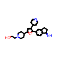 N=C1CCc2cc(-c3oc(C4CCN(CCO)CC4)cc3-c3ccncc3)ccc21